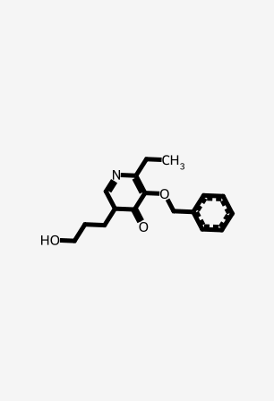 CCC1=C(OCc2ccccc2)C(=O)C(CCCO)C=N1